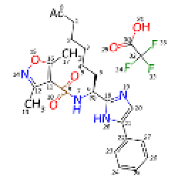 CC(=O)CCCCC[C@H](NS(=O)(=O)c1c(C)noc1C)c1ncc(-c2ccccc2)[nH]1.O=C(O)C(F)(F)F